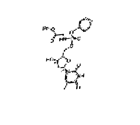 Cc1cn([C@H]2C[C@@H](O)C(COP(=O)(NCC(=O)OC(C)C)Oc3ccccc3)O2)c(=O)[nH]c1=O